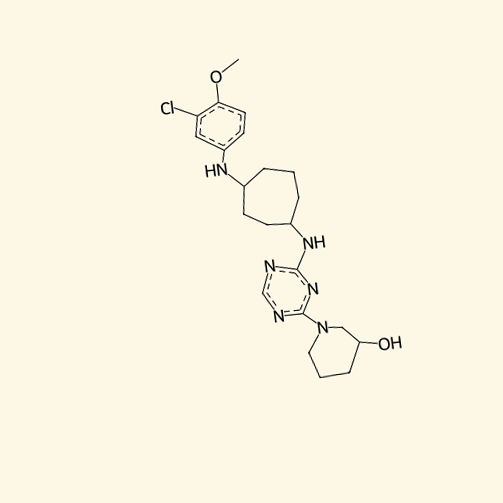 COc1ccc(NC2CCCC(Nc3ncnc(N4CCCC(O)C4)n3)CC2)cc1Cl